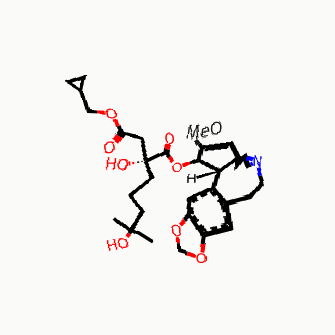 COC1=CC23CCCN2CCc2cc4c(cc2[C@@H]3C1OC(=O)[C@@](O)(CCCC(C)(C)O)CC(=O)OCC1CC1)OCO4